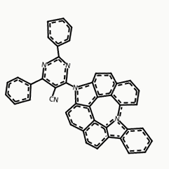 N#Cc1c(-c2ccccc2)nc(-c2ccccc2)nc1-n1c2ccc3cccc4c3c2c2c3c(ccc5c6ccccc6n4c53)ccc21